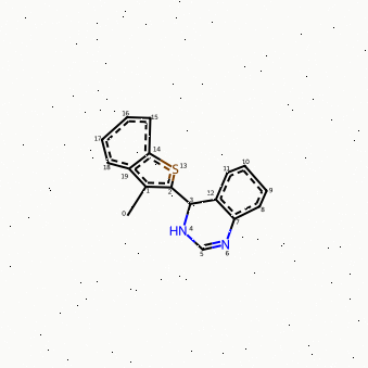 Cc1c(C2NC=Nc3ccccc32)sc2ccccc12